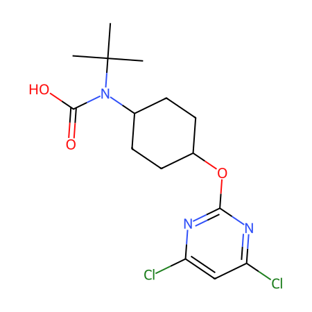 CC(C)(C)N(C(=O)O)C1CCC(Oc2nc(Cl)cc(Cl)n2)CC1